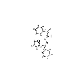 CC(NCCC(c1ccccc1)c1ccco1)c1ccccc1